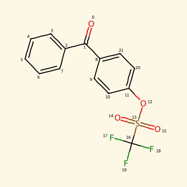 O=C(c1ccccc1)c1ccc(OS(=O)(=O)C(F)(F)F)cc1